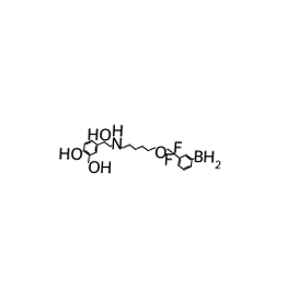 Bc1cccc(C(F)(F)COCCCCCCNCC(O)c2ccc(O)c(CO)c2)c1